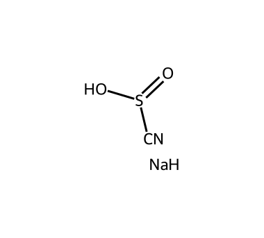 N#CS(=O)O.[NaH]